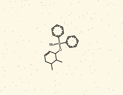 CC1CC=CC(O[Si](c2ccccc2)(c2ccccc2)C(C)(C)C)C1C